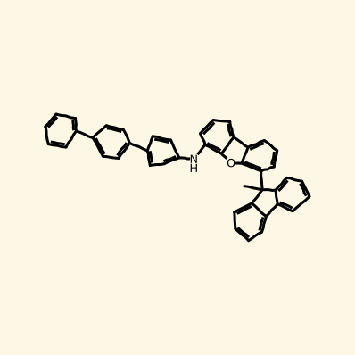 CC1(c2cccc3c2oc2c(Nc4ccc(-c5ccc(-c6ccccc6)cc5)cc4)cccc23)c2ccccc2-c2ccccc21